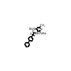 CSc1cc(C)nc(SC)c1NC(=O)C(F)(F)c1ccc(-c2ccccc2)cc1